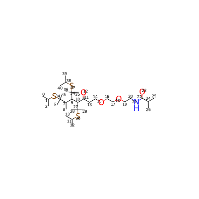 CC(C)SC(C)(C)C(C)C(C(C(=O)CCOCCOCCNC(=O)C(C)C)C(C)(C)SC(C)C)C(C)(C)SC(C)C